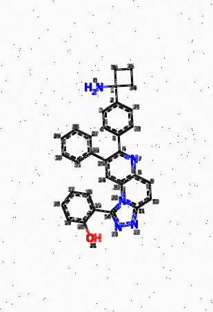 NC1(c2ccc(-c3nc4ccc5nnc(-c6ccccc6O)n5c4cc3-c3ccccc3)cc2)CCC1